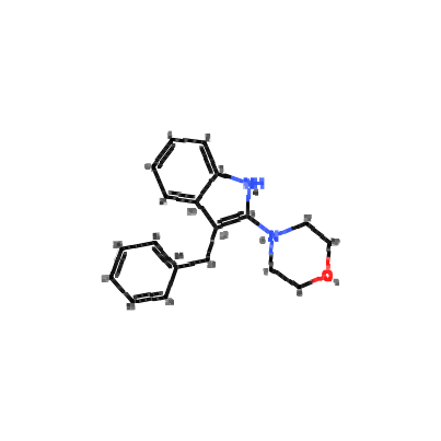 [c]1ccc2[nH]c(N3CCOCC3)c(Cc3ccccc3)c2c1